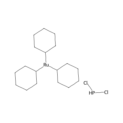 C1CC[CH]([Ru]([CH]2CCCCC2)[CH]2CCCCC2)CC1.ClPCl